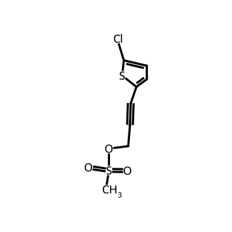 CS(=O)(=O)OCC#Cc1ccc(Cl)s1